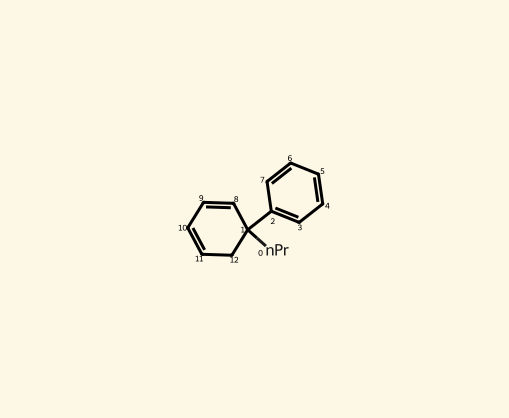 CCCC1(c2ccccc2)C=CC=CC1